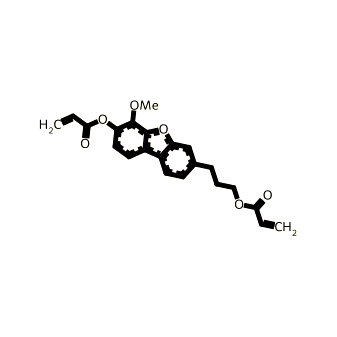 C=CC(=O)OCCCc1ccc2c(c1)oc1c(OC)c(OC(=O)C=C)ccc12